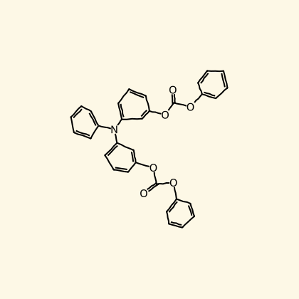 O=C(Oc1ccccc1)Oc1cccc(N(c2ccccc2)c2cccc(OC(=O)Oc3ccccc3)c2)c1